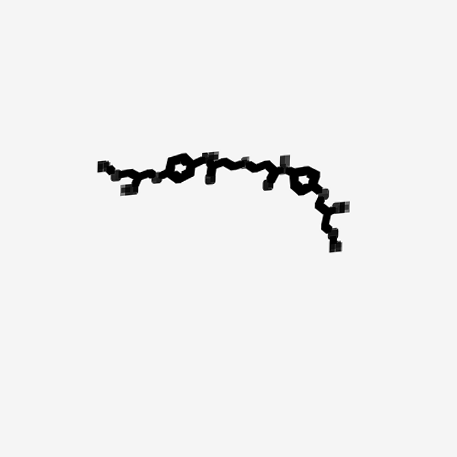 CCOCC(O)COc1ccc(NC(=O)CCSCCC(=O)Nc2ccc(OCC(O)COCC)cc2)cc1